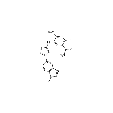 COc1cc(C)c(C(N)=O)cc1Nc1nc(-c2ccc3c(c2)ncn3C)cs1